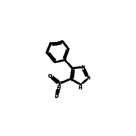 O=[SH](=O)c1[nH]nnc1-c1ccccc1